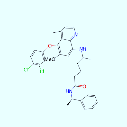 COc1cc(NC(C)CCCC(=O)N[C@H](C)c2ccccc2)c2nccc(C)c2c1Oc1ccc(Cl)c(Cl)c1